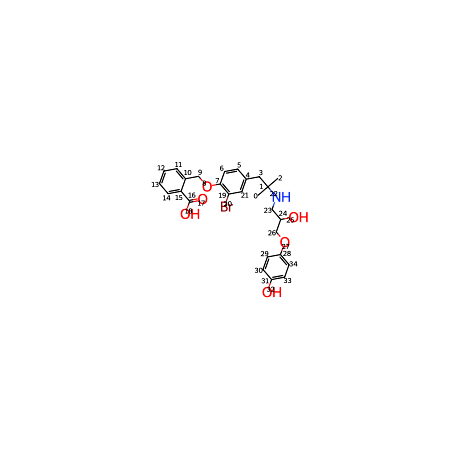 CC(C)(Cc1ccc(OCc2ccccc2C(=O)O)c(Br)c1)NCC(O)COc1ccc(O)cc1